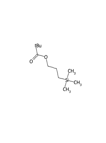 CC(C)(C)C(=O)OCCC[Si](C)(C)C